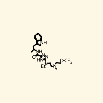 CCN(CCN(C)CCOC(F)(F)F)c1nnc(C(=O)NC(C)Cc2c[nH]c3ccccc23)[nH]1